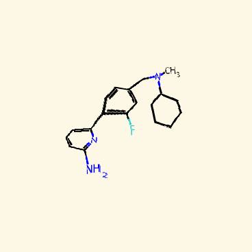 CN(Cc1ccc(-c2cccc(N)n2)c(F)c1)C1CCCCC1